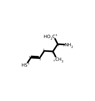 CC(CC=CS)C(N)C(=O)O